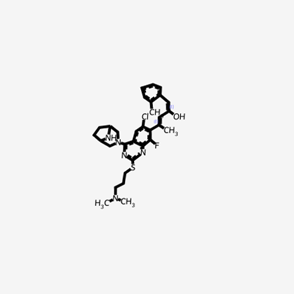 C/C(=C\C(O)=C/c1ccccc1C)c1c(Cl)cc2c(N3CC4CCC(C3)N4)nc(SCCCN(C)C)nc2c1F